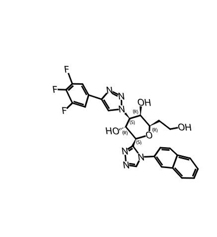 OCC[C@H]1O[C@@H](c2nncn2-c2ccc3ccccc3c2)[C@H](O)[C@@H](n2cc(-c3cc(F)c(F)c(F)c3)nn2)[C@H]1O